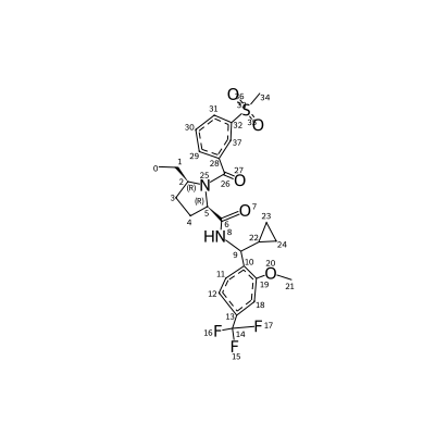 CC[C@@H]1CC[C@H](C(=O)NC(c2ccc(C(F)(F)F)cc2OC)C2CC2)N1C(=O)c1cccc(S(C)(=O)=O)c1